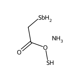 N.O=C([CH2][SbH2])OS